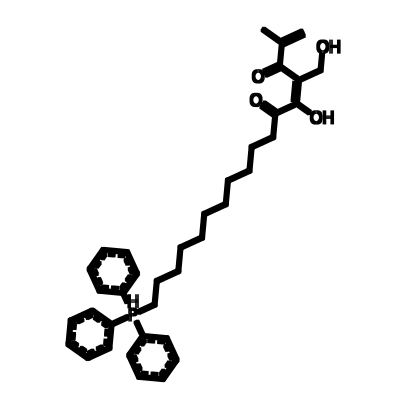 C=C(C)C(=O)/C(CO)=C(/O)C(=O)CCCCCCCCCCC[PH](c1ccccc1)(c1ccccc1)c1ccccc1